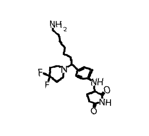 NCCCCCCC(c1ccc(NC2CCC(=O)NC2=O)cc1)N1CCC(F)(F)CC1